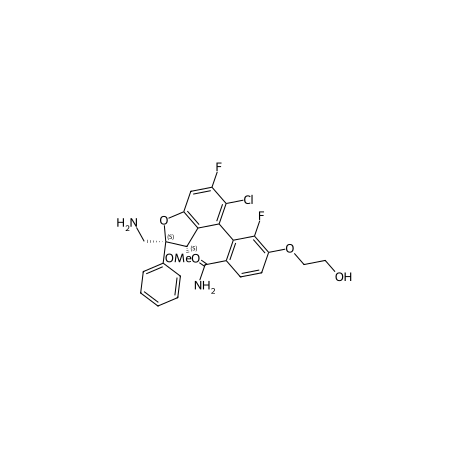 CO[C@H]1c2c(cc(F)c(Cl)c2-c2c(C(N)=O)ccc(OCCO)c2F)O[C@]1(CN)c1ccccc1